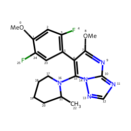 COc1cc(F)c(-c2c(OC)nc3ncnn3c2N2CCCCC2C)cc1F